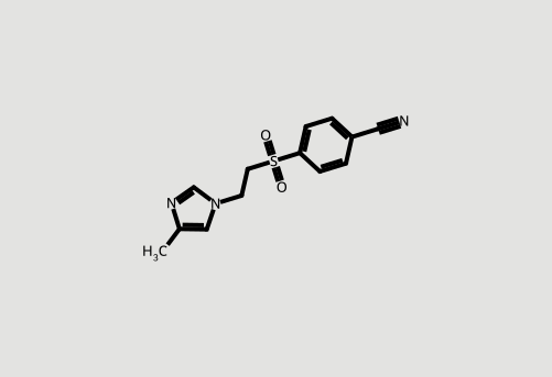 Cc1cn(CCS(=O)(=O)c2ccc(C#N)cc2)cn1